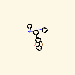 c1ccc(Nc2cc(Nc3ccccc3)cc(-c3cc4oc5cccc6sc(c3)c4c56)c2)cc1